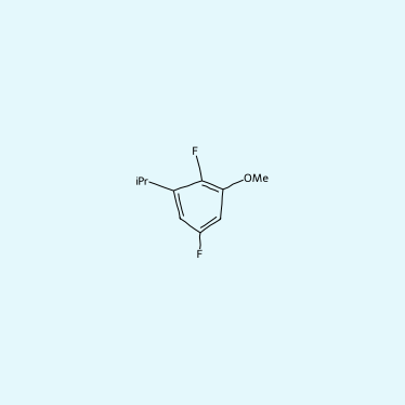 COc1cc(F)cc(C(C)C)c1F